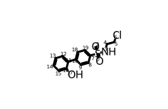 O=S(=O)(NCCCl)c1ccc(-c2ccccc2O)cc1